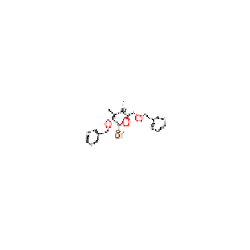 C[C@@H]1C(COCc2ccccc2)OC(Br)C(OCc2ccccc2)[C@H]1C